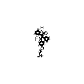 CN(C)CCCOc1ccc(NC(=C2C(=O)Nc3ccccc32)c2ccccc2)cc1